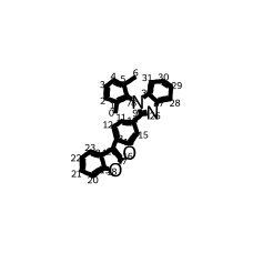 Cc1cccc(C)c1-n1c(-c2ccc3c(c2)oc2oc4ccccc4c23)nc2ccccc21